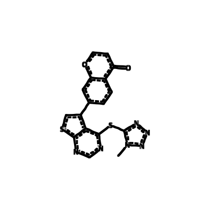 Cn1nnnc1Sc1ncnc2scc(-c3ccc4c(=O)ccoc4c3)c12